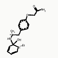 CC[C@@H]1C=CC=CC1(O)N[C@H](C)Cc1ccc(OCC(N)=O)cc1